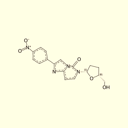 O=c1n([C@@H]2CC[C@H](CO)O2)ccc2nc(-c3ccc([N+](=O)[O-])cc3)cn12